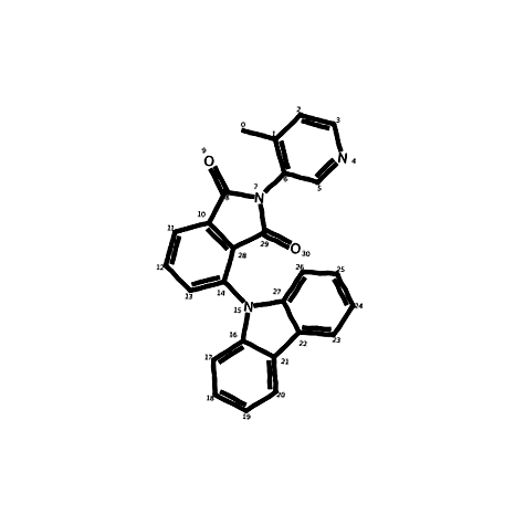 Cc1ccncc1N1C(=O)c2cccc(-n3c4ccccc4c4ccccc43)c2C1=O